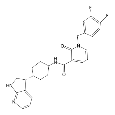 O=C(NC1CCC([C@H]2CNc3ncccc32)CC1)c1cccn(Cc2ccc(F)c(F)c2)c1=O